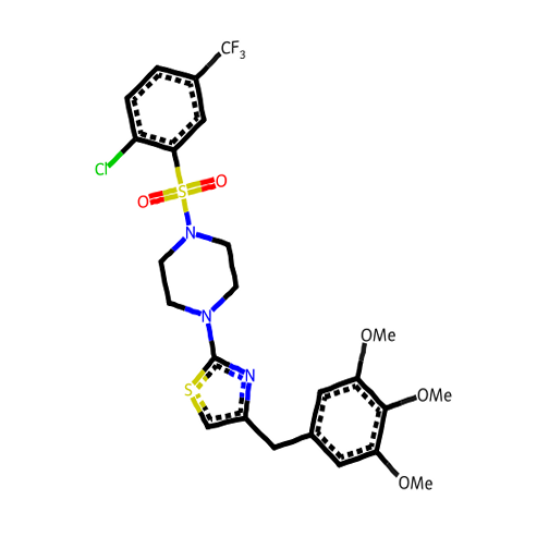 COc1cc(Cc2csc(N3CCN(S(=O)(=O)c4cc(C(F)(F)F)ccc4Cl)CC3)n2)cc(OC)c1OC